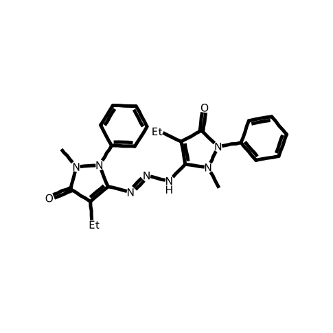 CCc1c(N=NNc2c(CC)c(=O)n(-c3ccccc3)n2C)n(-c2ccccc2)n(C)c1=O